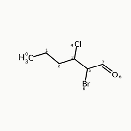 CCCC(Cl)C(Br)C=O